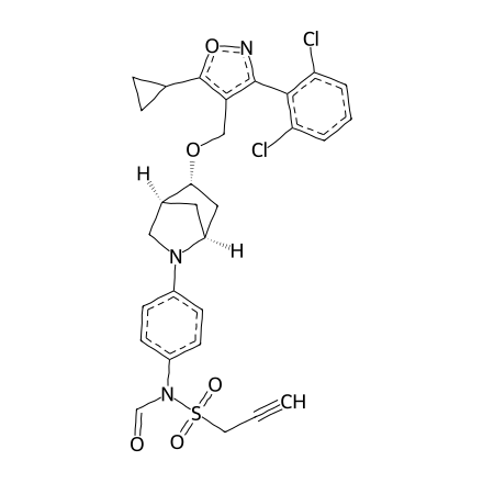 C#CCS(=O)(=O)N(C=O)c1ccc(N2C[C@@H]3C[C@H]2C[C@H]3OCc2c(-c3c(Cl)cccc3Cl)noc2C2CC2)cc1